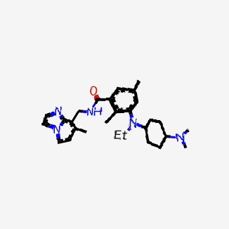 CCN(c1cc(C)cc(C(=O)NCc2c(C)ccn3ccnc23)c1C)C1CCC(N(C)C)CC1